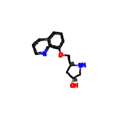 O[C@H]1CN[C@H](COc2cccc3cccnc23)C1